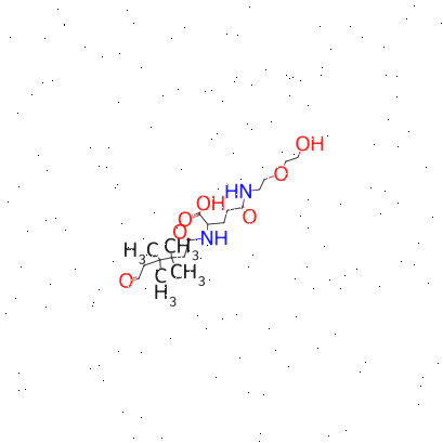 CC(C)(CC=O)C(C)(C)CC(=O)NC(CCC(=O)NCCOCCO)C(=O)O